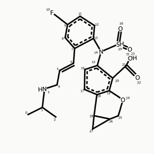 CC(C)NCC=Cc1cc(F)ccc1N(c1ccc2c(c1C(=O)O)OCC1CC21)[SH](=O)=O